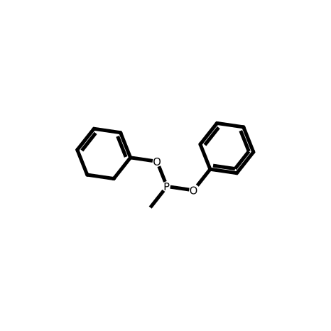 CP(OC1=C=C=CC=C1)OC1=CC=CCC1